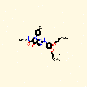 CCc1ccc(-n2cc(C(=O)NOC)c(=O)c3cnc(Nc4ccc(OCCCOC)c(OCCCOC)c4)nc32)cc1